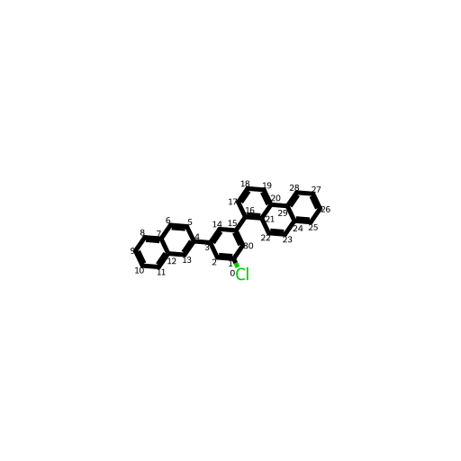 Clc1cc(-c2ccc3ccccc3c2)cc(-c2cccc3c2ccc2ccccc23)c1